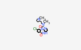 CCN(CCC1CCCN1C)CC(=O)N1c2cc(Cl)ccc2C(=O)Nc2cccnc21